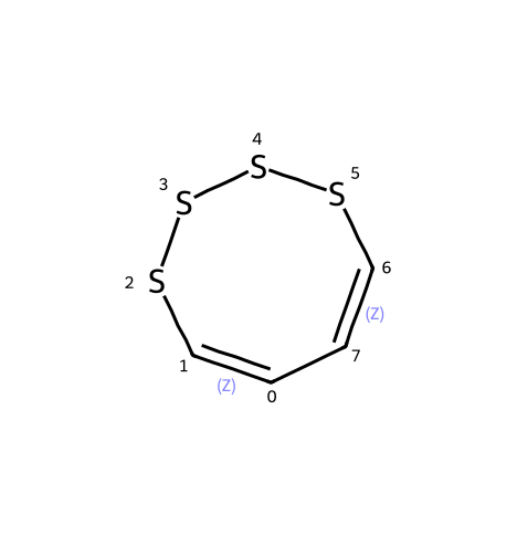 C1=C\SSSS\C=C/1